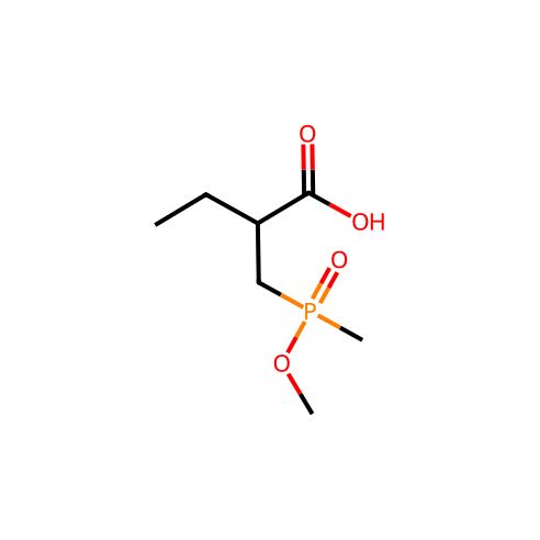 CCC(CP(C)(=O)OC)C(=O)O